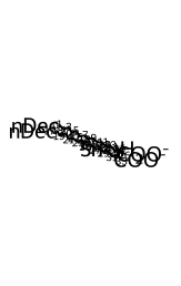 CCCCCCCCCCCCCCCCCCCCCCCCCC(=O)[O-].CCCCCCCCCCCCCCCCCCCCCCCCCC(=O)[O-].[SnH2+2]